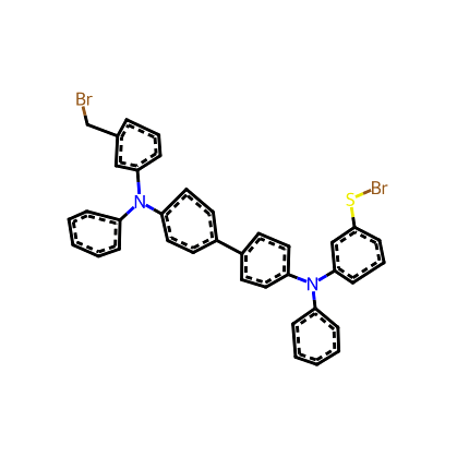 BrCc1cccc(N(c2ccccc2)c2ccc(-c3ccc(N(c4ccccc4)c4cccc(SBr)c4)cc3)cc2)c1